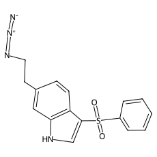 [N-]=[N+]=NCCc1ccc2c(S(=O)(=O)c3ccccc3)c[nH]c2c1